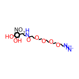 [N-]=[N+]=NCCOCCOCCOCCOCCC(=O)NCCc1cc(O)c(O)cc1[N+](=O)[O-]